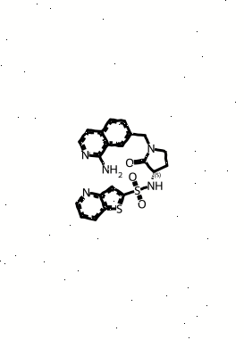 Nc1nccc2ccc(CN3CC[C@H](NS(=O)(=O)c4cc5ncccc5s4)C3=O)cc12